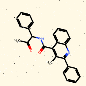 CC(=O)C(NC(=O)c1c(C)c(-c2ccccc2)nc2ccccc12)c1ccccc1